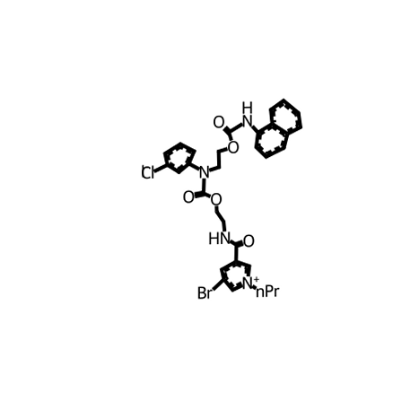 CCC[n+]1cc(Br)cc(C(=O)NCCOC(=O)N(CCOC(=O)Nc2cccc3ccccc23)c2cccc(Cl)c2)c1.[I-]